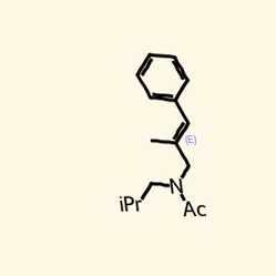 CC(=O)N(C/C(C)=C/c1ccccc1)CC(C)C